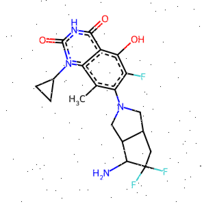 Cc1c(N2CC3CC(F)(F)C(N)C3C2)c(F)c(O)c2c(=O)[nH]c(=O)n(C3CC3)c12